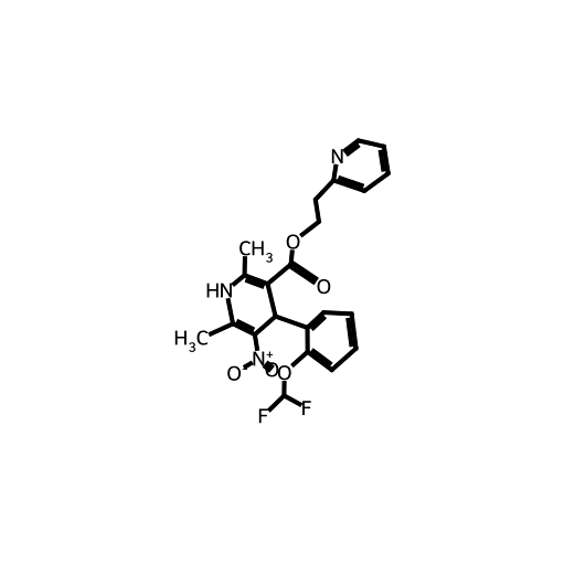 CC1=C(C(=O)OCCc2ccccn2)C(c2ccccc2OC(F)F)C([N+](=O)[O-])=C(C)N1